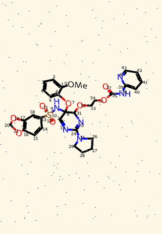 COc1ccccc1OC1(NS(=O)(=O)c2ccc3c(c2)OCO3)C=NC(N2CCCC2)=NC1OCCOC(=O)Nc1ccccn1